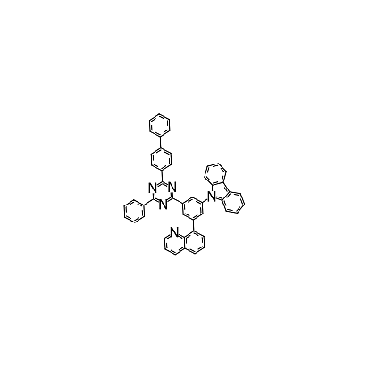 c1ccc(-c2ccc(-c3nc(-c4ccccc4)nc(-c4cc(-c5cccc6cccnc56)cc(-n5c6ccccc6c6ccccc65)c4)n3)cc2)cc1